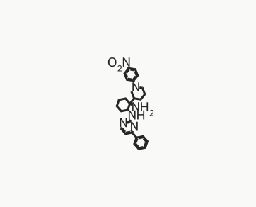 NC1(C2CCCN(c3ccc([N+](=O)[O-])cc3)C2)CCCCC1Nc1nccc(-c2ccccc2)n1